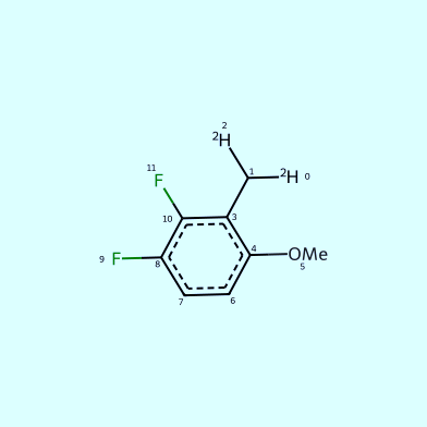 [2H]C([2H])c1c(OC)ccc(F)c1F